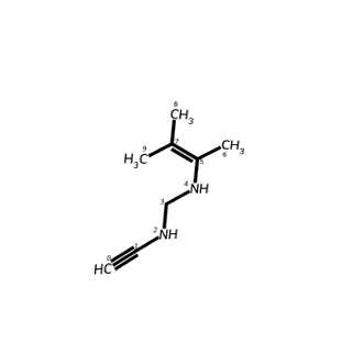 C#CNCNC(C)=C(C)C